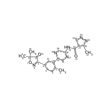 Cc1ccc(C2=NOC(C)(C)C2=O)cc1-c1cnc(NC(=O)c2snnc2C)cn1